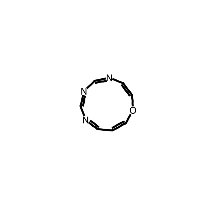 C1=COC=CN=CN=CN=C1